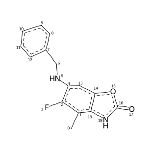 Cc1c(F)c(NCc2ccccc2)cc2oc(=O)[nH]c12